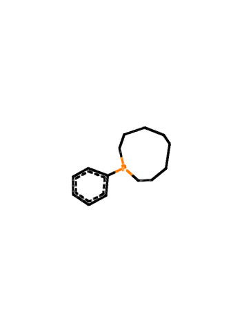 c1ccc(P2CCCCCCCC2)cc1